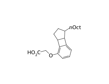 CCCCCCCCC1CCC2c3c(OCC(=O)O)cccc3C12